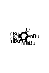 CCCCC1=C(CCCC)C(CCCC)(CCCC)C(CCCC)(CCCC)CC1=O